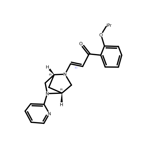 CC(C)Oc1ccccc1C(=O)/C=C/N1C[C@H]2C[C@@H]1CN2c1ccccn1